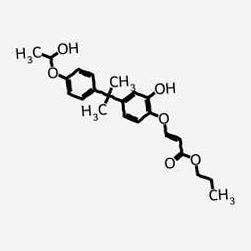 CCCOC(=O)C=COc1ccc(C(C)(C)c2ccc(OC(C)O)cc2)cc1O